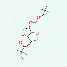 CCC(C)(C)C(=O)OC1COC2C(OCOCC(C)(C)C)COC12